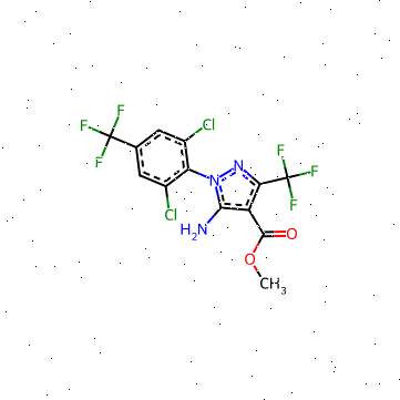 COC(=O)c1c(C(F)(F)F)nn(-c2c(Cl)cc(C(F)(F)F)cc2Cl)c1N